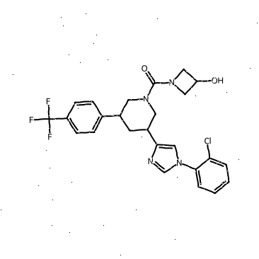 O=C(N1CC(O)C1)N1CC(c2ccc(C(F)(F)F)cc2)CC(c2cn(-c3ccccc3Cl)cn2)C1